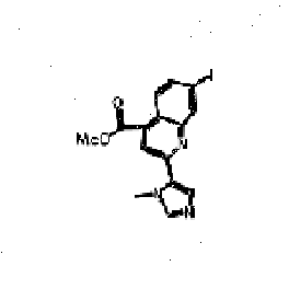 COC(=O)c1cc(-c2cncn2C)nc2cc(I)ccc12